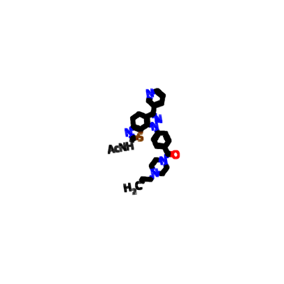 C=CCN1CCN(C(=O)c2ccc(-n3nc(-c4cccnc4)c4c3-c3sc(NC(C)=O)nc3CC4)cc2)CC1